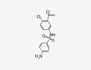 C=C(Cl)c1cc(NS(=O)(=O)c2ccc(N)cc2)ccc1Cl